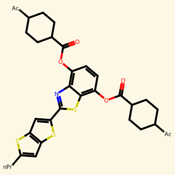 CCCc1cc2sc(-c3nc4c(OC(=O)C5CCC(C(C)=O)CC5)ccc(OC(=O)C5CCC(C(C)=O)CC5)c4s3)cc2s1